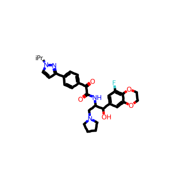 CC(C)n1ccc(-c2ccc(C(=O)C(=O)NC(CN3CCCC3)C(O)c3cc(F)c4c(c3)OCCO4)cc2)n1